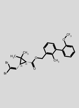 Cc1c(COC(=O)[C@@H]2[C@H](C=C(Br)Br)C2(C)C)cccc1-c1ccccc1OC(F)(F)F